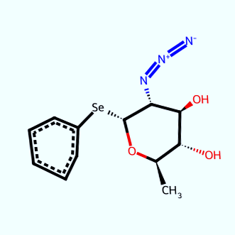 C[C@H]1O[C@H]([Se]c2ccccc2)[C@H](N=[N+]=[N-])[C@@H](O)[C@@H]1O